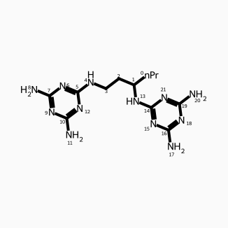 CCCC(CCNc1nc(N)nc(N)n1)Nc1nc(N)nc(N)n1